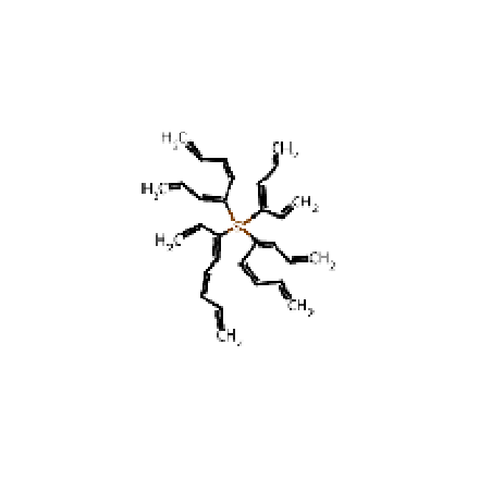 C=C/C=C\C=C(/C=C)S(/C(C=C)=C/C=C)(C(/C=C\C=C)=C/C=C)C(/C=C\C=C)=C/C=C